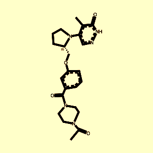 CC(=O)N1CCN(C(=O)c2cccc(OC[C@@H]3CCCN3c3cn[nH]c(=O)c3C)c2)CC1